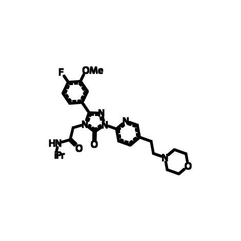 COc1cc(-c2nn(-c3ccc(CCN4CCOCC4)cn3)c(=O)n2CC(=O)NC(C)C)ccc1F